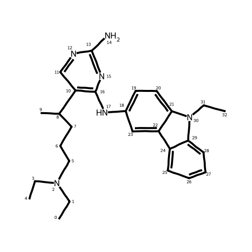 CCN(CC)CCCC(C)c1cnc(N)nc1Nc1ccc2c(c1)c1ccccc1n2CC